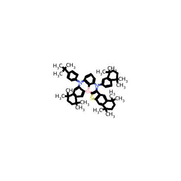 CC(C)(C)c1ccc(N2c3cc4c(cc3B3c5sc6cc7c(cc6c5N(c5ccc6c(c5)C(C)(C)CCC6(C)C)c5cccc2c53)C(C)(C)CCC7(C)C)C(C)(C)CCC4(C)C)cc1